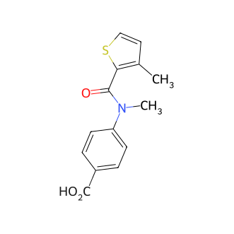 Cc1ccsc1C(=O)N(C)c1ccc(C(=O)O)cc1